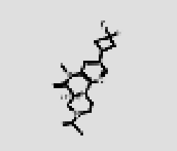 C=C1[C@@H]2CN(C(C)C)CCN2c2ncc(C3CC(F)(F)C3)cc2N1C